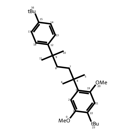 COc1cc(C(C)(C)CCC(C)(C)c2ccc(C(C)(C)C)cc2)c(OC)cc1C(C)(C)C